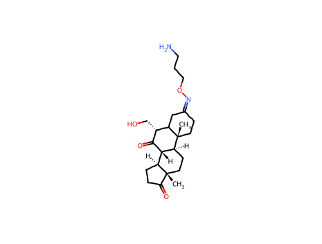 C[C@]12CC/C(=N/OCCCN)CC1[C@@H](CO)C(=O)[C@@H]1[C@@H]2CC[C@]2(C)C(=O)CC[C@@H]12